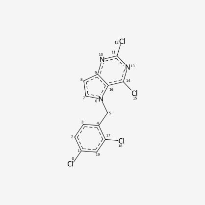 Clc1ccc(Cn2ccc3nc(Cl)nc(Cl)c32)c(Cl)c1